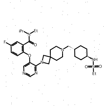 CCN(C(=O)c1cc(F)ccc1Oc1cncnc1N1CC2(CCN(C[C@H]3CC[C@H](NS(=O)(=O)CC)CC3)CC2)C1)C(C)C